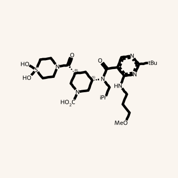 COCCCNc1nc(C(C)(C)C)ncc1C(=O)N(CC(C)C)[C@H]1C[C@@H](C(=O)N2CCS(O)(O)CC2)CN(C(=O)O)C1